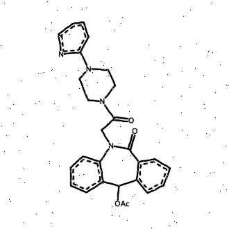 CC(=O)OC1c2ccccc2C(=O)N(CC(=O)N2CCN(c3ccccn3)CC2)c2ccccc21